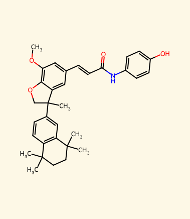 COc1cc(C=CC(=O)Nc2ccc(O)cc2)cc2c1OCC2(C)c1ccc2c(c1)C(C)(C)CCC2(C)C